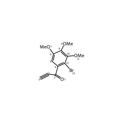 C#CC(=O)c1cc(OC)c(OC)c(OC)c1Br